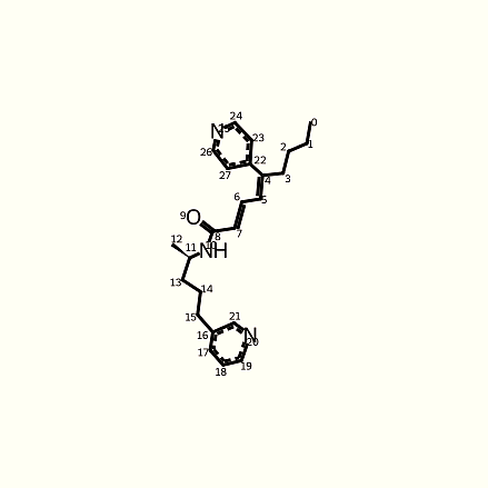 CCCC/C(=C/C=C/C(=O)N[C@H](C)CCCc1cccnc1)c1ccncc1